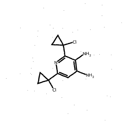 Nc1cc(C2(Cl)CC2)nc(C2(Cl)CC2)c1N